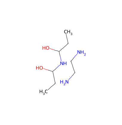 CCC(O)NC(O)CC.NCCN